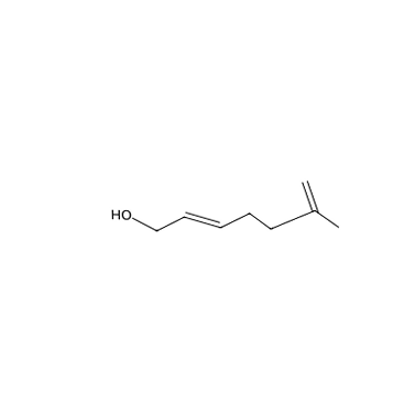 C=C(C)CC/C=C/CO